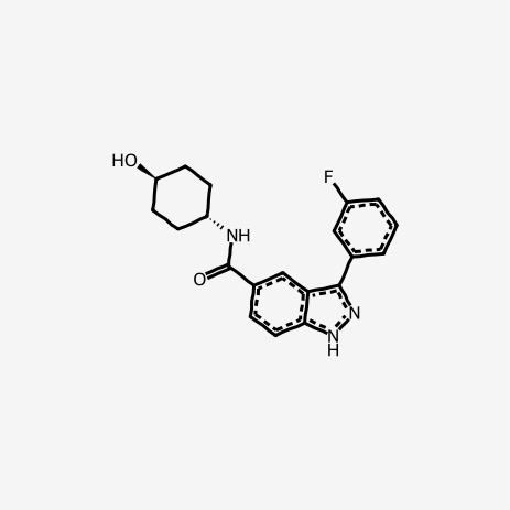 O=C(N[C@H]1CC[C@H](O)CC1)c1ccc2[nH]nc(-c3cccc(F)c3)c2c1